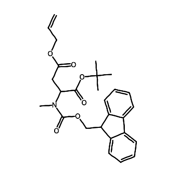 C=CCOC(=O)CC(C(=O)OC(C)(C)C)N(C)C(=O)OCC1c2ccccc2-c2ccccc21